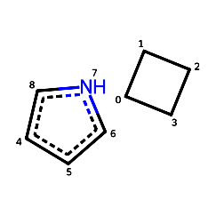 C1CCC1.c1cc[nH]c1